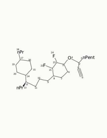 C#CC(CCCCC)OC1CCC(CCC[C@@H](CCC)C2CCC(CCC)CC2)C(F)C1F